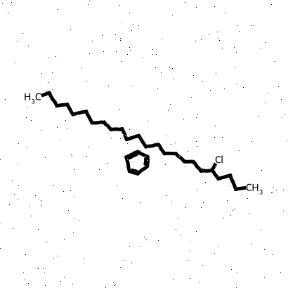 CCCCCCCCCCCCCCCCCCCC(Cl)CCCC.c1ccccc1